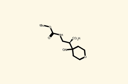 CC(C)(C)OC(=O)NC[C@@H](C(=O)O)C1(N=O)CCOCC1